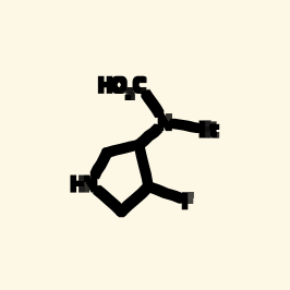 CCN(C(=O)O)C1CNCC1F